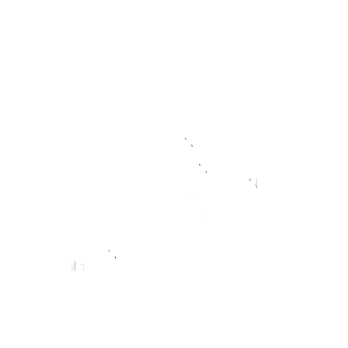 CC(C)n1ccc2c(C(=O)n3nc4c(c3N)CCCC4)cccc21